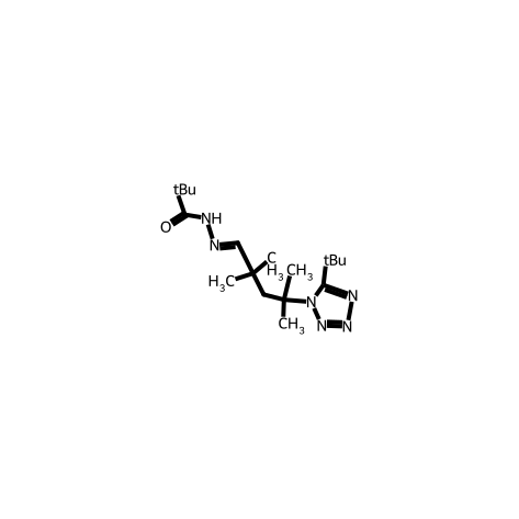 CC(C)(/C=N/NC(=O)C(C)(C)C)CC(C)(C)n1nnnc1C(C)(C)C